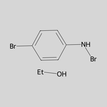 BrNc1ccc(Br)cc1.CCO